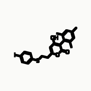 Cc1cc(C)c(-c2c(O)cc(CCSc3ccc(I)cc3)oc2=O)c(C)c1